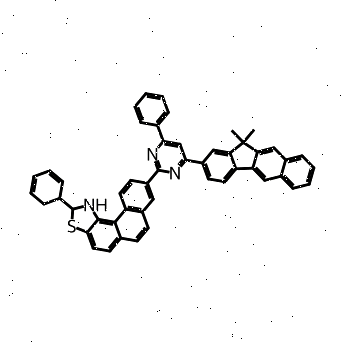 CC1(C)c2cc(-c3cc(-c4ccccc4)nc(-c4ccc5c(ccc6ccc7c(c65)NC(C5C=CC=CC5)S7)c4)n3)ccc2-c2cc3ccccc3cc21